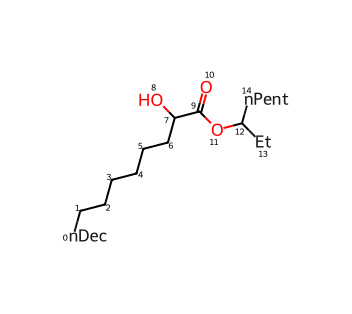 CCCCCCCCCCCCCCCCC(O)C(=O)OC(CC)CCCCC